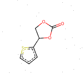 O=C1OCC(c2cccs2)O1